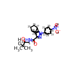 CC(C)(C)C(=O)CNC(=O)c1nn(-c2ccc([N+](=O)[O-])cc2)c2c1C1CCC2C1